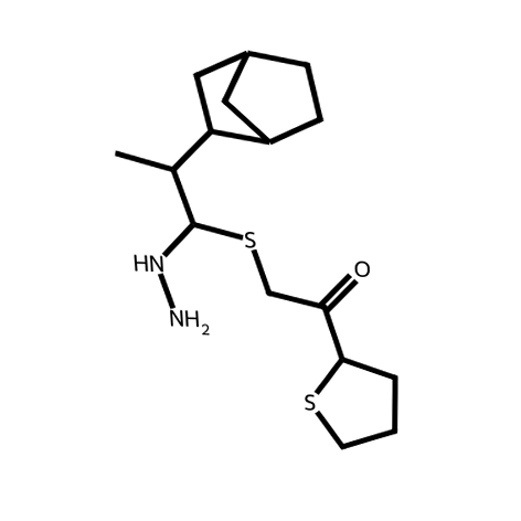 CC(C(NN)SCC(=O)C1CCCS1)C1CC2CCC1C2